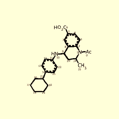 CC(=O)N1c2ccc(C(=O)O)cc2C(Nc2ccc(C3CCCCC3)cc2)CC1C